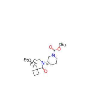 CCOC(=O)CN(C(=O)C1(C(F)(F)F)CCC1)[C@H]1CCCN(C(=O)OC(C)(C)C)C1